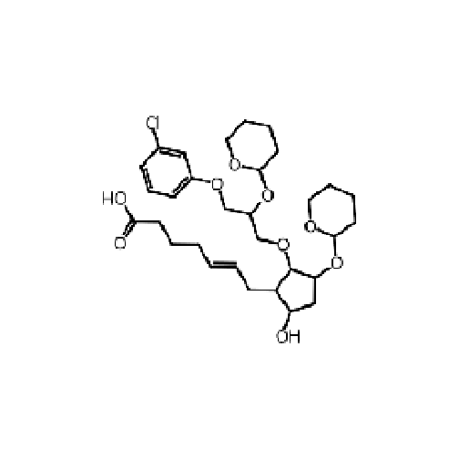 O=C(O)CCC/C=C/CC1C(O)CC(OC2CCCCO2)C1OCC(COc1cccc(Cl)c1)OC1CCCCO1